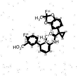 CN1C(NC(=O)C2(c3ccc4c(c3)OC(C)(F)O4)CC2)=CC=CC1c1ccc(F)c(C(=O)O)c1